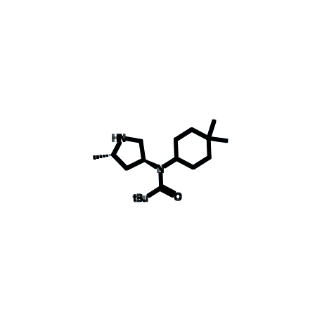 C[C@H]1C[C@H](N(C(=O)C(C)(C)C)C2CCC(C)(C)CC2)CN1